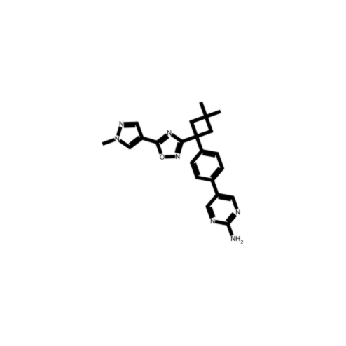 Cn1cc(-c2nc(C3(c4ccc(-c5cnc(N)nc5)cc4)CC(C)(C)C3)no2)cn1